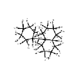 FC1(F)C(F)(F)C(F)(F)C(F)(C(F)(F)C23C(F)(F)C(F)(F)C(F)(F)C(F)(F)C2(F)C(F)(F)C(F)(F)C(F)(F)C3(F)F)C(F)(F)C1(F)F